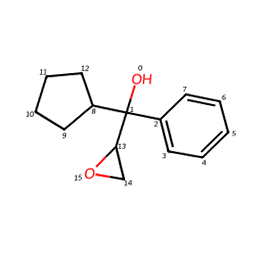 OC(c1ccccc1)(C1CCCC1)C1CO1